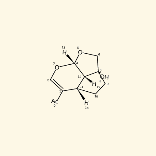 CC(=O)C1=CO[C@@H]2OC[C@]3(O)CC[C@H]1[C@H]23